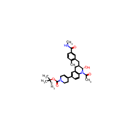 CNC(=O)c1ccc(C)c(CC2Cc3cc(C4=CCN(C(=O)OC(C)(C)C)CC4)ccc3N(C(C)=O)[C@H]2O)c1